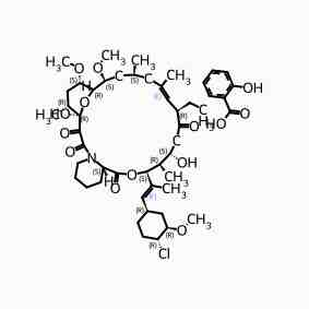 CC[C@@H]1/C=C(\C)C[C@H](C)C[C@H](OC)[C@H]2O[C@@](O)(C(=O)C(=O)N3CCCC[C@H]3C(=O)O[C@H](/C(C)=C/[C@@H]3CC[C@@H](Cl)[C@H](OC)C3)[C@H](C)[C@@H](O)CC1=O)[C@H](C)C[C@@H]2OC.O=C(O)c1ccccc1O